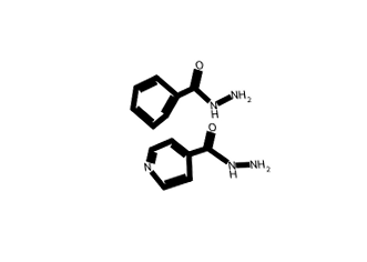 NNC(=O)c1ccccc1.NNC(=O)c1ccncc1